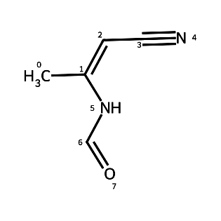 C/C(=C/C#N)NC=O